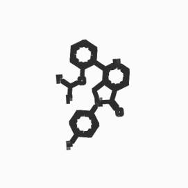 O=C1c2ccnc(-c3ccccc3OC(F)F)c2CN1c1ccc(F)cc1